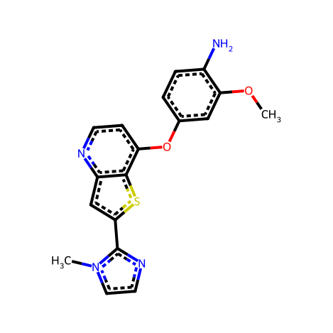 COc1cc(Oc2ccnc3cc(-c4nccn4C)sc23)ccc1N